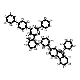 c1ccc(-c2ccc(-c3nc(-c4ccccc4)nc4c3oc3cccc(-c5cccc(-c6ccc7c8ccccc8n(-c8ccccc8)c7c6)c5)c34)cc2)cc1